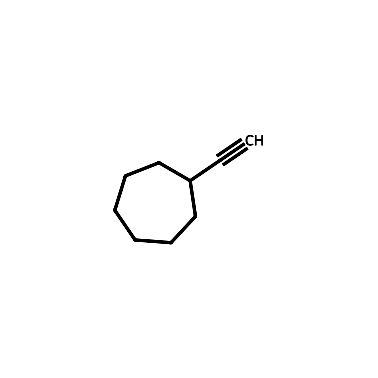 C#CC1CCCCCC1